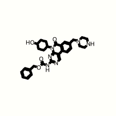 O=C(Nc1ncc2c3ccc(CN4CCNCC4)cc3c(=O)n(C3CCC(O)CC3)c2n1)OCc1ccccc1